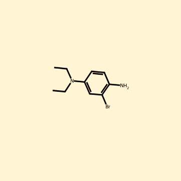 CCN(CC)c1ccc(N)c(Br)c1